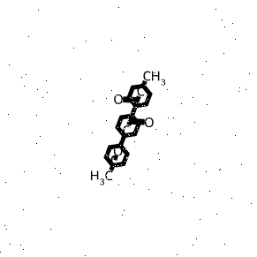 CC12CCC(C34CCC(C56CCC(C)(CC5)CC6=O)(CC3)C(=O)C4)(CC1)OC2